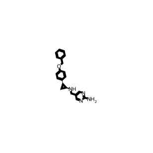 Nc1ncc(CN[C@H]2C[C@@H]2c2ccc(OCc3ccccc3)cc2)cn1